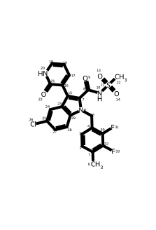 Cc1ccc(Cn2c(C(=O)NS(C)(=O)=O)c(-c3ccc[nH]c3=O)c3cc(Cl)ccc32)c(F)c1F